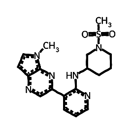 Cn1ccc2ncc(-c3cccnc3NC3CCCN(S(C)(=O)=O)C3)nc21